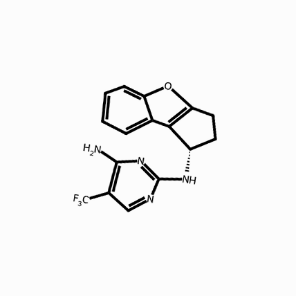 Nc1nc(N[C@H]2CCc3oc4ccccc4c32)ncc1C(F)(F)F